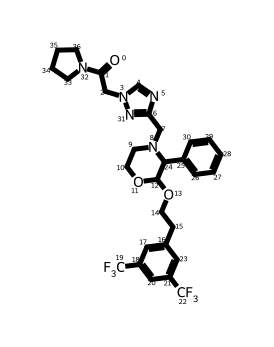 O=C(Cn1cnc(CN2CCOC(OCCc3cc(C(F)(F)F)cc(C(F)(F)F)c3)C2c2ccccc2)n1)N1CCCC1